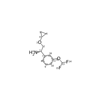 N[C@@H](COC1CC1)c1cccc(OC(F)F)c1